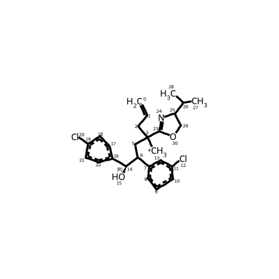 C=CCC(C)(CC(c1cccc(Cl)c1)[C@@H](O)c1ccc(Cl)cc1)C1=NC(C(C)C)CO1